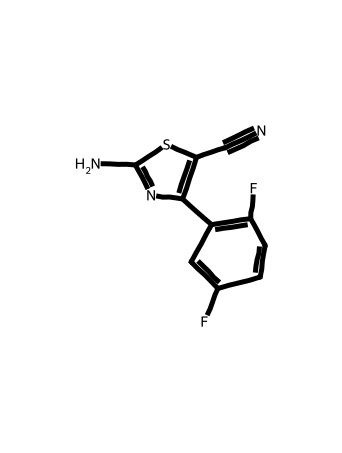 N#Cc1sc(N)nc1-c1cc(F)ccc1F